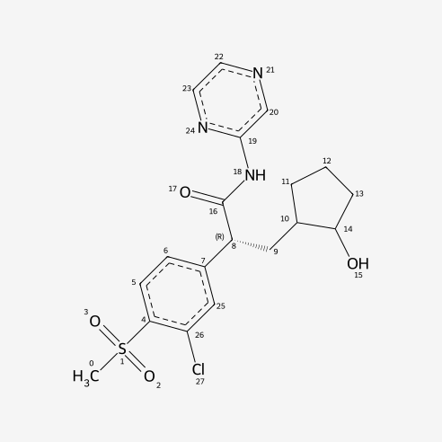 CS(=O)(=O)c1ccc([C@@H](CC2CCCC2O)C(=O)Nc2cnccn2)cc1Cl